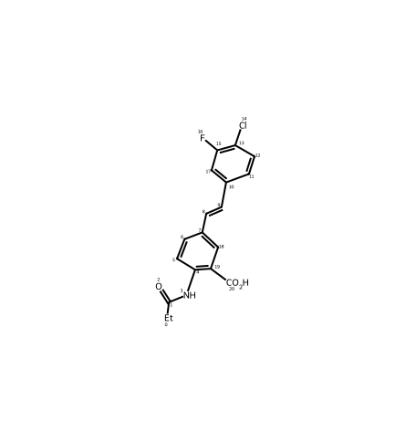 CCC(=O)Nc1ccc(C=Cc2ccc(Cl)c(F)c2)cc1C(=O)O